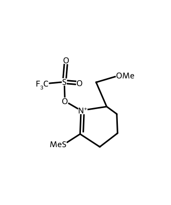 COCC1CCCC(SC)=[N+]1OS(=O)(=O)C(F)(F)F